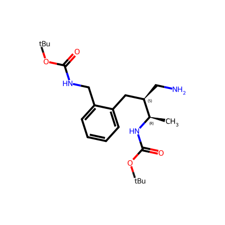 C[C@@H](NC(=O)OC(C)(C)C)[C@H](CN)Cc1ccccc1CNC(=O)OC(C)(C)C